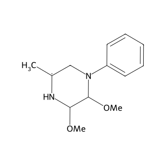 COC1N[C](C)CN(c2ccccc2)C1OC